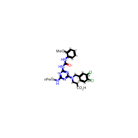 CCCCCNc1nc(NC(=O)Nc2ccccc2OC)nc(N(CCC(=O)O)Cc2ccc(Cl)c(Cl)c2)n1